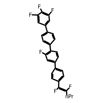 CCC/C(F)=C(\F)c1ccc(-c2ccc(-c3ccc(-c4cc(F)c(F)c(F)c4)cc3)c(F)c2)cc1